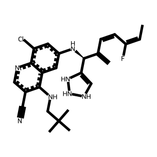 C=C(/C=C\C(F)=C/C)[C@H](Nc1cc(Cl)c2ncc(C#N)c(NCC(C)(C)C)c2c1)C1=CNNN1